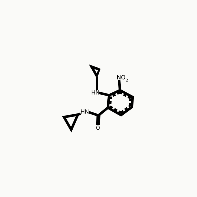 O=C(NC1CC1)c1cccc([N+](=O)[O-])c1NC1CC1